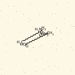 CCCCCCCCCCCCCCC(C(N)=O)C(C)N.CCCCCCCCCCCCCCCCCC(=O)O